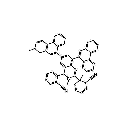 CC1C=Cc2c(cc(-c3cc(-c4cc5ccccc5c5ccccc45)c4c(c3)C(c3ccccc3C#N)N(C)C(C3(C)C=CC=CC3C#N)=N4)c3ccccc23)C1